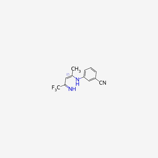 C/C(=C/C(=N)C(F)(F)F)Nc1cccc(C#N)c1